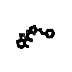 Cc1ccnc(N)c1C(=O)Nc1cnc(OCc2ccccc2)s1